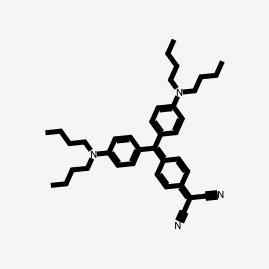 CCCCN(CCCC)c1ccc(C(c2ccc(N(CCCC)CCCC)cc2)=c2ccc(=C(C#N)C#N)cc2)cc1